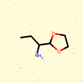 CCC(N)C1OCCO1